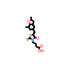 Cc1cc(/C=C2\SC(=S)N(CCCC(=O)O)C2=O)cc2c1OC(C)C2